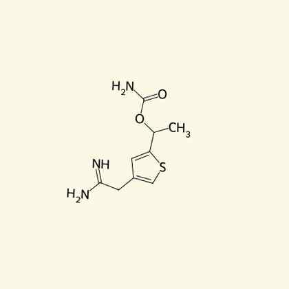 CC(OC(N)=O)c1cc(CC(=N)N)cs1